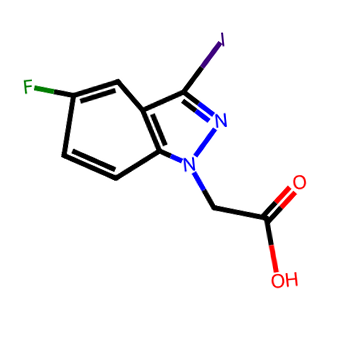 O=C(O)Cn1nc(I)c2cc(F)ccc21